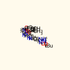 CC(C)(C)OC(=O)N1CCC[C@H]1c1ncc(-c2ccc(-c3ccc(-c4cnc([C@@H]5CCCN5C(=O)OC(C)(C)C)n4COCC[Si](C)(C)C)nn3)cc2)[nH]1